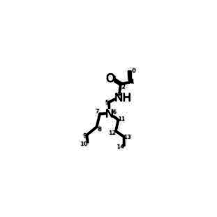 C=CC(=O)NCN(CCCC)CCCC